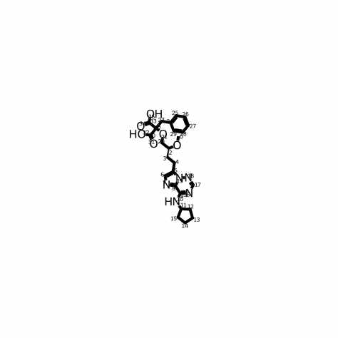 CO[C@@H](CCc1cnc2c(NC3CCCC3)ncnn12)COC(Cc1ccccc1)(C(=O)O)C(=O)O